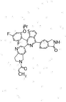 C=CC(=O)N1CCc2ncc(-c3nc(-c4ccc5c(c4)CNC5=O)c4ccsc4c3-c3c(F)cc(F)cc3OC(C)C)cc2C1